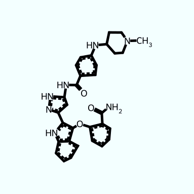 CN1CCC(Nc2ccc(C(=O)Nc3cc(-c4[nH]c5ccccc5c4Oc4ccccc4C(N)=O)n[nH]3)cc2)CC1